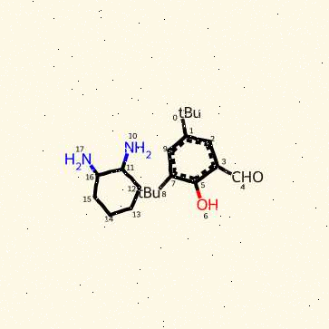 CC(C)(C)c1cc(C=O)c(O)c(C(C)(C)C)c1.NC1CCCCC1N